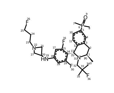 C[C@@H]1Cc2cc(P(C)(C)=O)ccc2[C@@H](c2c(F)cc(NC3CN(CCCF)C3)cc2F)N1CC(C)(C)F